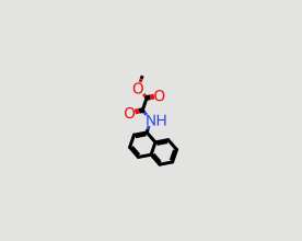 COC(=O)C(=O)Nc1cccc2ccccc12